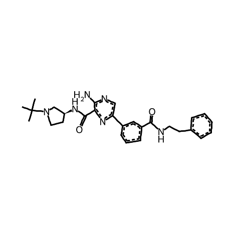 CC(C)(C)N1CC[C@H](NC(=O)c2nc(-c3cccc(C(=O)NCCc4ccccc4)c3)cnc2N)C1